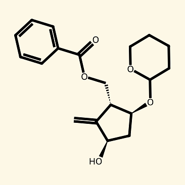 C=C1[C@H](O)C[C@H](OC2CCCCO2)[C@H]1COC(=O)c1ccccc1